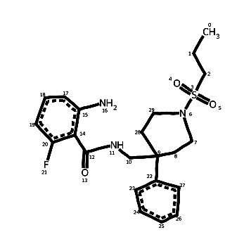 CCCS(=O)(=O)N1CCC(CNC(=O)c2c(N)cccc2F)(c2ccccc2)CC1